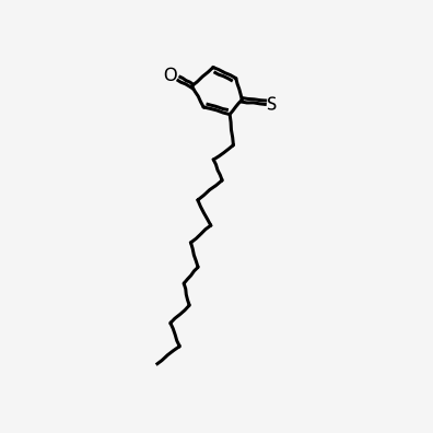 CCCCCCCCCCCCC1=CC(=O)C=CC1=S